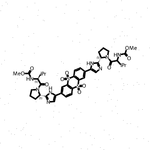 COC(=O)NC(C(=O)N1CCC[C@H]1c1ncc(-c2ccc3c(c2)S(=O)(=O)c2ccc(-c4cnc([C@@H]5CCCN5C(=O)[C@@H](NC(=O)OC)C(C)C)[nH]4)cc2S3(=O)=O)[nH]1)C(C)C